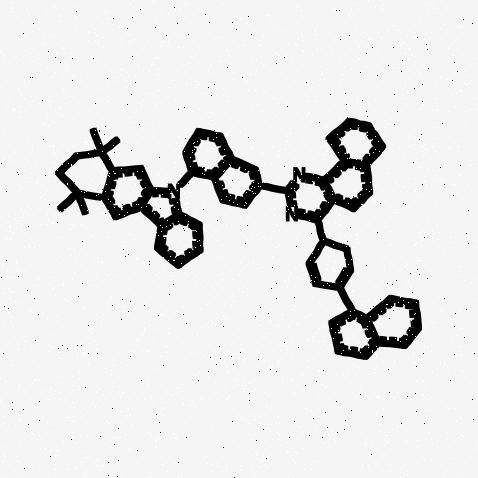 CC1(C)CCC(C)(C)c2cc3c(cc21)c1ccccc1n3-c1cccc2cc(-c3nc(C4C=CC(c5cccc6ccccc56)=CC4)c4ccc5ccccc5c4n3)ccc12